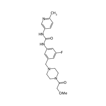 COCC(=O)N1CCN(Cc2cc(F)cc(NC(=O)Nc3ccc(C)nc3)c2)CC1